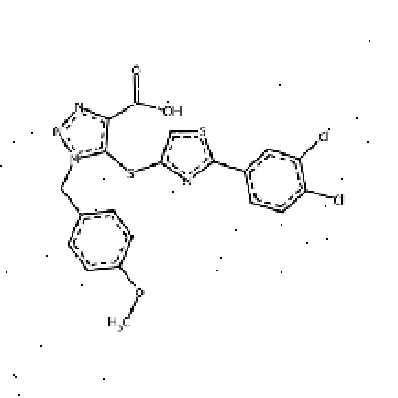 COc1ccc(Cn2nnc(C(=O)O)c2Sc2csc(-c3ccc(Cl)c(Cl)c3)n2)cc1